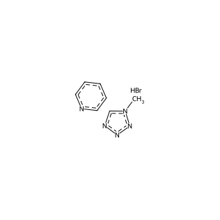 Br.Cn1cnnn1.c1ccncc1